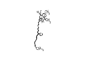 CCCCCCC(=O)CCCCCCCCCC(CC(CC)CCCC)C(=O)OC(=O)C(C)C